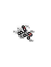 CC1(C)CCC(C)(C)C2=C1C=CC(N1c3cc(C(C)(C)C)cc4c3B(c3cc(C(C)(C)C)c#cc3N4c3ccc(C(C)(C)C)cc3-c3ccccc3)c3oc4cc5c(cc4c31)C1(C)CCC5(C)C1)C2